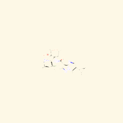 Cc1nn2cc(C3CC3)cnc2c1C(=O)N[C@@]1(c2ncc(C(F)(F)F)cc2F)CCOC[C@@H]1O